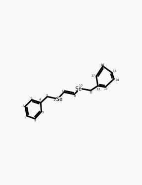 C(=C[Se]Cc1ccccc1)[Se]Cc1ccccc1